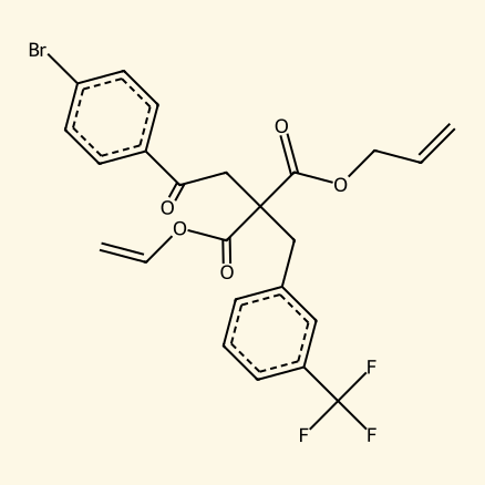 C=CCOC(=O)C(CC(=O)c1ccc(Br)cc1)(Cc1cccc(C(F)(F)F)c1)C(=O)OC=C